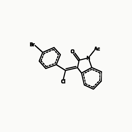 CC(=O)N1C(=O)C(=C(Cl)c2ccc(Br)cc2)c2ccccc21